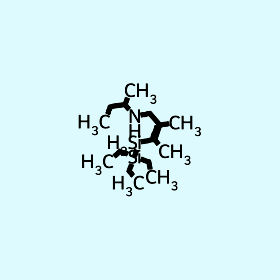 CCC(C)NCC(C)=C(C)[SiH2][Si](CC)(CC)CC